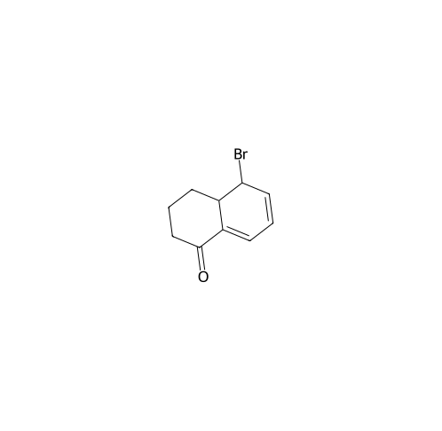 O=C1CCCC2C1=CC=CC2Br